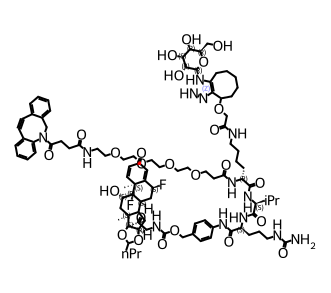 CCCC1O[C@@H]2CC3[C@@H]4C[C@H](F)C5=CC(=O)C=C[C@]5(C)[C@@]4(F)[C@@H](O)C[C@]3(C)[C@]2(C(=O)CNC(=O)OCc2ccc(NC(=O)[C@H](CCCNC(N)=O)NC(=O)[C@@H](NC(=O)[C@@H](CCCCNC(=O)COC3CCCCC/C(N[C@@H]4O[C@H](CO)[C@H](O)[C@H](O)[C@H]4O)=C\3N=N)NC(=O)CCOCCOCCOCCOCCNC(=O)CCC(=O)N3Cc4ccccc4C#Cc4ccccc43)C(C)C)cc2)O1